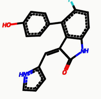 O=C1Nc2ccc(F)c(-c3ccc(O)cc3)c2C1=Cc1ccc[nH]1